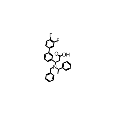 CC(c1ccccc1)N(Cc1ccccc1)C(CC(=O)O)c1cccc(-c2ccc(F)c(F)c2)c1